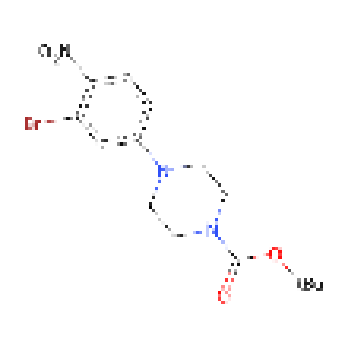 CC(C)(C)OC(=O)N1CCN(c2ccc([N+](=O)[O-])c(Br)c2)CC1